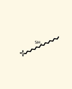 CCCCCCCCCCCCCCCC[Si](C)(C)C.[SiH4]